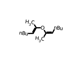 CCCCC=C(C)OC(C)=CCCCC